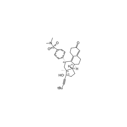 CN(C)S(=O)(=O)c1ccc([C@H]2C[C@@]3(C)[C@@H](CC[C@@]3(O)C#CC(C)(C)C)[C@@H]3CCC4=CC(=O)CCC4=C32)cc1